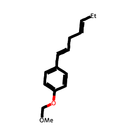 CCC=CCC=Cc1ccc(OCOC)cc1